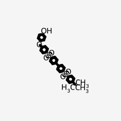 CC(C)(C)c1ccc(S(=O)(=O)c2ccc(-c3ccc(S(=O)(=O)c4ccc(Oc5ccc(O)cc5)cc4)cc3)cc2)cc1